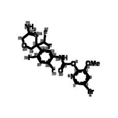 COc1cc(Br)cnc1OC(=O)Nc1cc(C2(C(F)F)COCC(N)=N2)c(F)cc1F